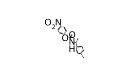 Cc1ccc([C@H](C)NC(=O)Oc2ccc([N+](=O)[O-])cc2)cc1